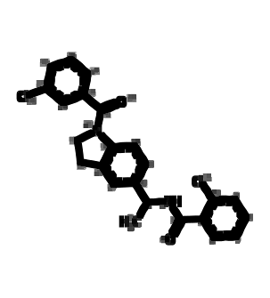 CC(NC(=O)c1ccccc1Cl)c1ccc2c(c1)CCN2C(=O)c1cccc(Cl)c1